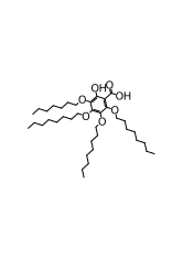 CCCCCCCCOc1c(OCCCCCCC)c(O)c(C(=O)O)c(OCCCCCCCC)c1OCCCCCCCC